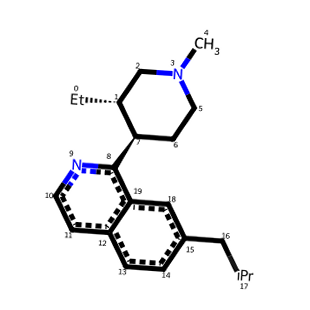 CC[C@@H]1CN(C)CC[C@H]1c1nccc2ccc(CC(C)C)cc12